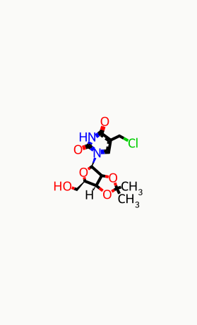 CC1(C)OC2[C@@H](O1)[C@@H](CO)O[C@H]2n1cc(CCl)c(=O)[nH]c1=O